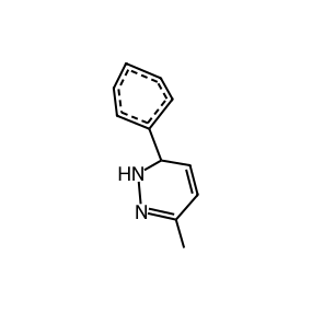 CC1=NNC(c2ccccc2)C=C1